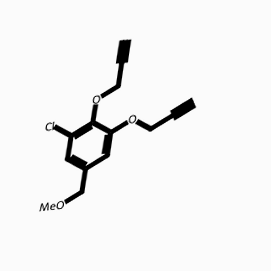 C#CCOc1cc(COC)cc(Cl)c1OCC#C